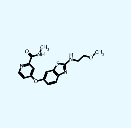 CNC(=O)c1cc(Oc2ccc3nc(NCCOC)sc3c2)ccn1